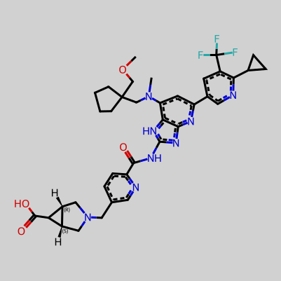 COCC1(CN(C)c2cc(-c3cnc(C4CC4)c(C(F)(F)F)c3)nc3nc(NC(=O)c4ccc(CN5C[C@@H]6C(C(=O)O)[C@@H]6C5)cn4)[nH]c23)CCCC1